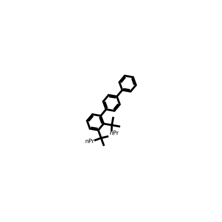 CCCC(C)(C)c1cccc(-c2ccc(-c3ccccc3)cc2)c1C(C)(C)CCC